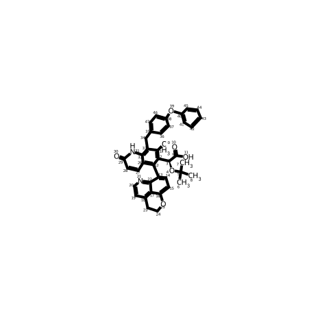 Cc1c([C@H](OC(C)(C)C)C(=O)O)c(-c2ccc3c4c(ccnc24)CCO3)c2ccc(=O)[nH]c2c1Cc1ccc(Oc2ccccc2)cc1